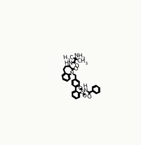 CC(C)(N)C(=O)N[C@@H]1CCc2ccccc2N(Cc2ccc(-c3ccccc3S(=O)(=O)NC(=O)c3ccccc3)cc2)C1=O